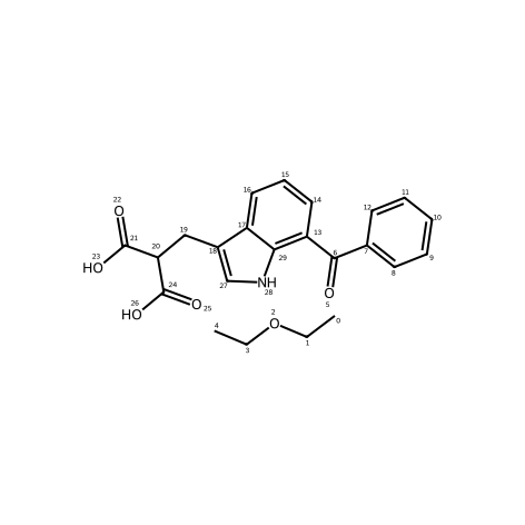 CCOCC.O=C(c1ccccc1)c1cccc2c(CC(C(=O)O)C(=O)O)c[nH]c12